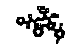 CC(C)(C)[C@H](c1nn(-c2cc(F)ccc2F)cc1Cc1ccccc1)N(CC[C@H](N)C(=O)NC1CCCC1)C(=O)CO